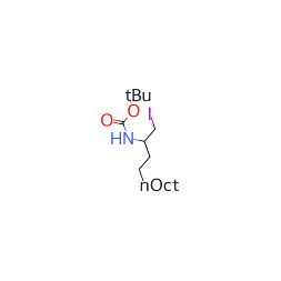 CCCCCCCCCCC(CI)NC(=O)OC(C)(C)C